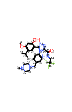 COc1cc(O)c(-c2nnc(C(=O)NCC(F)(F)F)n2-c2ccc(CN3CCN(C)CC3)cc2)cc1C(C)C